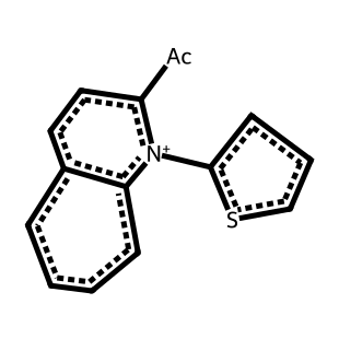 CC(=O)c1ccc2ccccc2[n+]1-c1cccs1